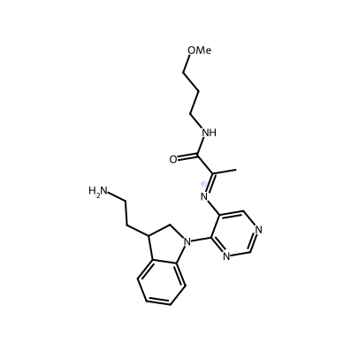 COCCCNC(=O)/C(C)=N/c1cncnc1N1CC(CCN)c2ccccc21